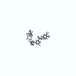 Cc1cc(-c2nnn(C[C@H]3CC[C@H](NS(C)(=O)=O)CC3)n2)cc(C(=O)NCc2ccc(F)c(Cl)c2)n1